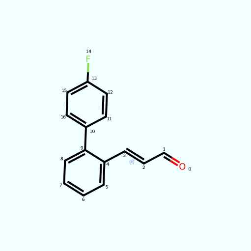 O=C/C=C/c1ccccc1-c1ccc(F)cc1